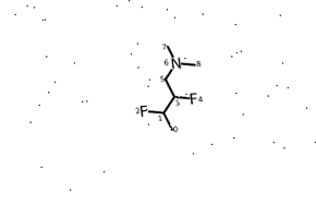 CC(F)C(F)CN(C)C